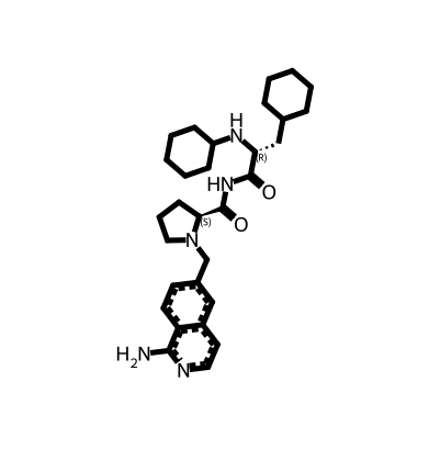 Nc1nccc2cc(CN3CCC[C@H]3C(=O)NC(=O)[C@@H](CC3CCCCC3)NC3CCCCC3)ccc12